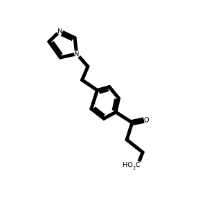 O=C(O)CCC(=O)c1ccc(CCn2ccnc2)cc1